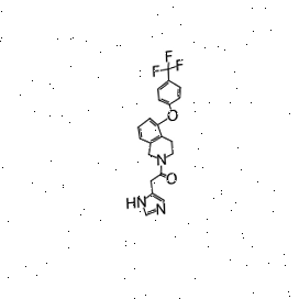 O=C(Cc1cnc[nH]1)N1CCc2c(cccc2Oc2ccc(C(F)(F)F)cc2)C1